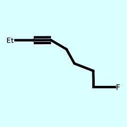 [CH2]CC#CCCCCF